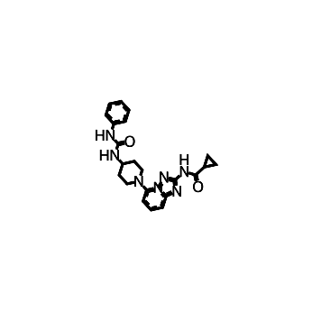 O=C(Nc1ccccc1)NC1CCN(c2cccc3nc(NC(=O)C4CC4)nn23)CC1